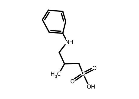 CC(CNc1ccccc1)CS(=O)(=O)O